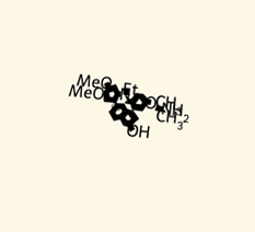 CCN(Cc1ccc(OCC(C)(C)N)cc1)C1C=C(OC)C(OC)=CC1[C@@H]1CCc2cc(O)ccc2C1